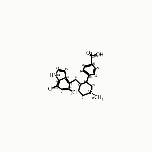 CN1CCC(Cc2c(Cl)cc(Cl)c3[nH]ccc23)C(c2ccc(C(=O)O)cc2)C1